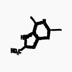 Cc1cc2cc(C(=O)O)[nH]c2c(C)n1